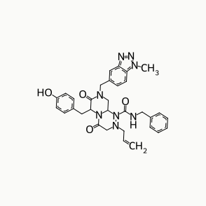 C=CCN1CC(=O)N2C(Cc3ccc(O)cc3)C(=O)N(Cc3ccc4c(c3)nnn4C)CC2N1C(=O)NCc1ccccc1